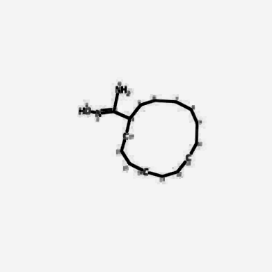 N/C(=N\O)C1CCCCCCCCCCCCC1